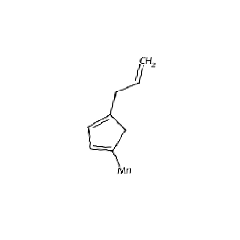 C=CCC1=CC=[C]([Mn])C1